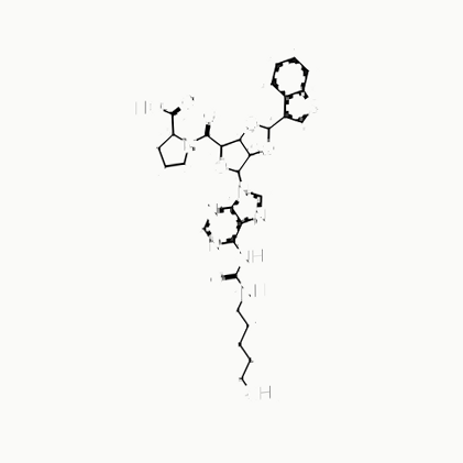 CCCCCCNC(=O)Nc1ncnc2c1ncn2C1OC(C(=O)N2CCCC2C(=O)O)C2OC(c3csc4ccccc34)OC21